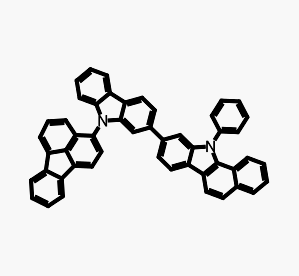 c1ccc(-n2c3cc(-c4ccc5c6ccccc6n(-c6ccc7c8c(cccc68)-c6ccccc6-7)c5c4)ccc3c3ccc4ccccc4c32)cc1